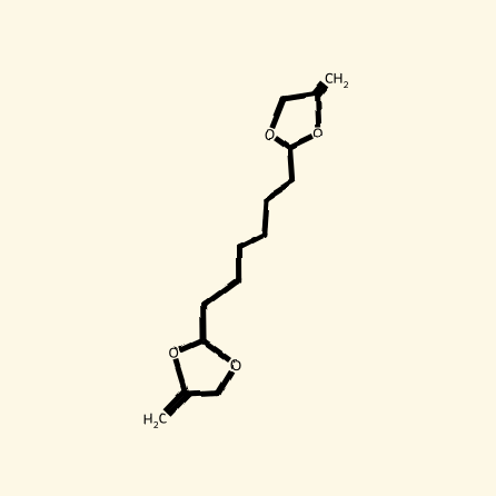 C=C1COC(CCCCCCC2OCC(=C)O2)O1